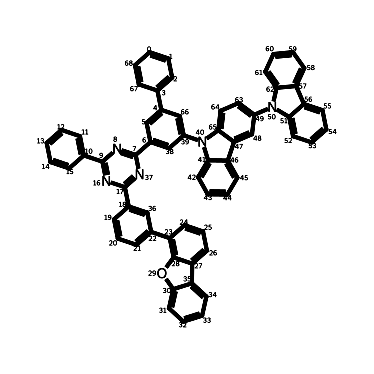 c1ccc(-c2cc(-c3nc(-c4ccccc4)nc(-c4cccc(-c5cccc6c5oc5ccccc56)c4)n3)cc(-n3c4ccccc4c4cc(-n5c6ccccc6c6ccccc65)ccc43)c2)cc1